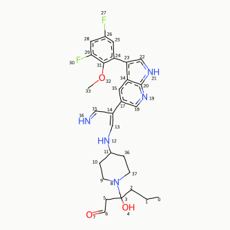 CCCC(O)(CC=O)N1CCC(N/C=C(\C=N)c2cnc3[nH]cc(-c4cc(F)cc(F)c4OC)c3c2)CC1